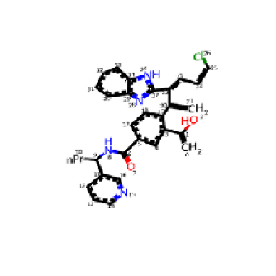 C=C(O)c1cc(C(=O)NC(CCC)c2cccnc2)ccc1C(=C)/C(=C\C=C/Cl)c1nc2ccccc2[nH]1